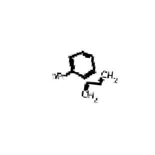 C=CC=C.CCCc1ccccc1